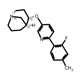 Cc1ccc(-c2ccc(O[C@H]3CC[N@@]4CCC[C@H]3C4)cn2)c(F)c1